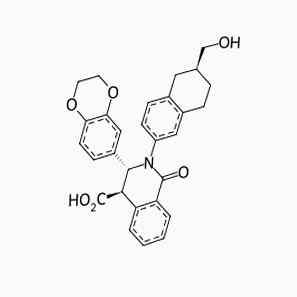 O=C(O)[C@@H]1c2ccccc2C(=O)N(c2ccc3c(c2)CC[C@H](CO)C3)[C@H]1c1ccc2c(c1)OCCO2